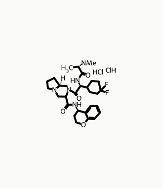 CN[C@@H](C)C(=O)N[C@H](C(=O)N1C[C@@H]2CCCN2CC1C(=O)N[C@@H]1CCOc2ccccc21)C1CCC(F)(F)CC1.Cl.Cl